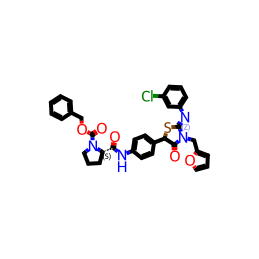 O=C(Nc1ccc(C2S/C(=N\c3cccc(Cl)c3)N(Cc3ccco3)C2=O)cc1)[C@@H]1CCCN1C(=O)OCc1ccccc1